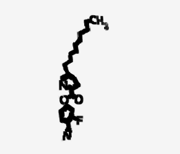 CCCCCCCCCCc1ccc(C(=O)Oc2ccc(C#N)c(F)c2)nc1